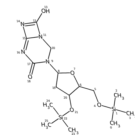 C[Si](C)(C)OCC1OC(N2CN3C(O)=NC3=NC2=O)CC1O[Si](C)(C)C